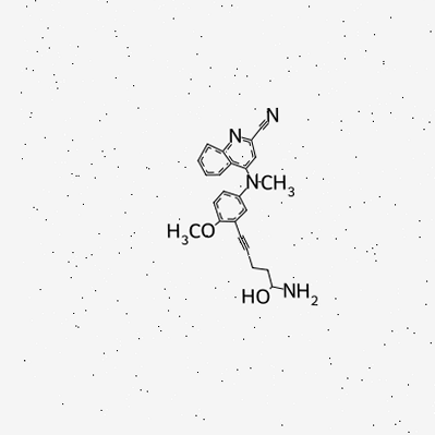 COc1ccc(N(C)c2cc(C#N)nc3ccccc23)cc1C#CCCC(N)O